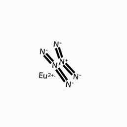 [Eu+2].[N-]=[N+]=[N-].[N-]=[N+]=[N-]